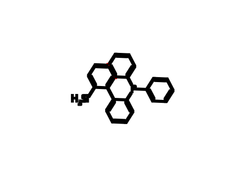 [SiH3]c1ccccc1-c1ccccc1P(c1ccccc1)c1ccccc1